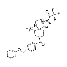 CN1CCn2c(C(=O)C(F)(F)F)ccc2C12CCN(C(=O)c1ccc(COc3ccccc3)cc1)CC2